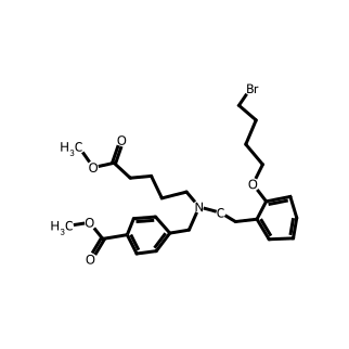 COC(=O)CCCCN(CCc1ccccc1OCCCCBr)Cc1ccc(C(=O)OC)cc1